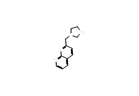 c1cnc2nc(CB3CCNC3)ccc2c1